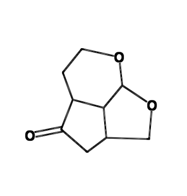 O=C1CC2COC3OCCC1C23